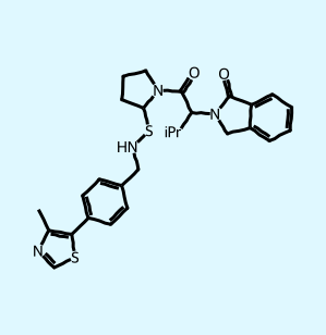 Cc1ncsc1-c1ccc(CNSC2CCCN2C(=O)C(C(C)C)N2Cc3ccccc3C2=O)cc1